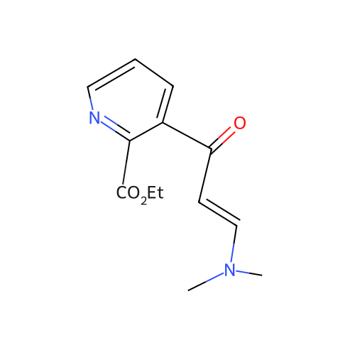 CCOC(=O)c1ncccc1C(=O)/C=C/N(C)C